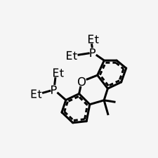 CCP(CC)c1cccc2c1Oc1c(P(CC)CC)cccc1C2(C)C